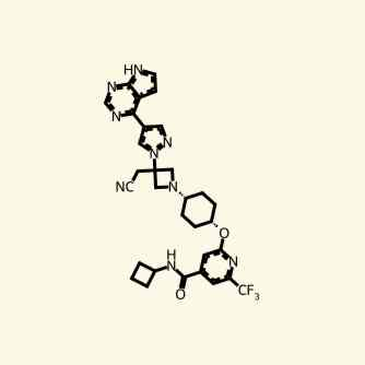 N#CCC1(n2cc(-c3ncnc4[nH]ccc34)cn2)CN([C@H]2CC[C@@H](Oc3cc(C(=O)NC4CCC4)cc(C(F)(F)F)n3)CC2)C1